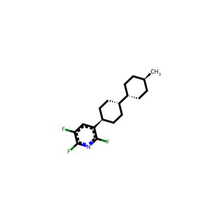 C[C@H]1CC[C@H]([C@H]2CC[C@H](c3cc(F)c(F)nc3F)CC2)CC1